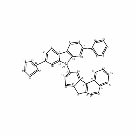 c1ccc(-c2ccc3c4ccc(-c5ccccc5)cc4n(-c4ccc5c(c4)-c4c(ccc6ccccc46)C5)c3c2)cc1